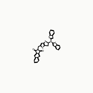 O=C1c2cc3ccccc3cc2C(=O)C1Cc1cc2c(s1)CC(N(c1cc3ccccc3s1)c1cc3ccccc3s1)S2